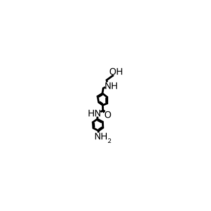 Nc1ccc(NC(=O)c2ccc(CNCCO)cc2)cc1